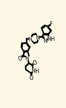 O=C1CCC(N2Cc3cc(CN4CCN(c5n[nH]c6cc(F)ccc56)CC4)ccc3C2=O)C(=O)N1